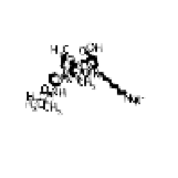 CC#CCn1c(N2CCC[C@@H](NC(=O)OC(C)(C)C)C2)nc2c1c(=O)n(Cc1nc(NCCCCCCCN=[N+]=[N-])ccc1C(=O)O)c(=O)n2C